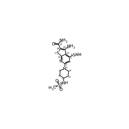 CSc1cc(N2CCC(NS(C)(=O)=O)CC2)nc2sc(C(N)=O)c(N)c12